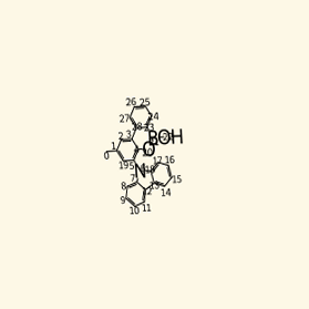 Cc1cc2c(c(-n3c4ccccc4c4ccccc43)c1)OB(O)c1ccccc1-2